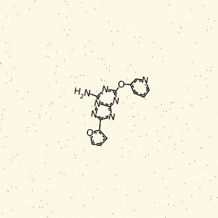 Nc1nc(Oc2cccnc2)nc2nc(-c3ccco3)nn12